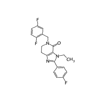 CCn1c(-c2ccc(F)cc2)nc2c1C(=O)N(Cc1cc(F)ccc1F)CC2